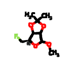 COC1O[C@H](CF)C2OC(C)(C)OC12